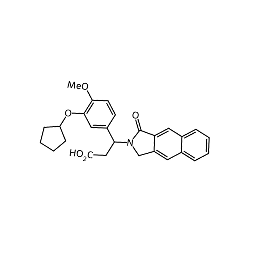 COc1ccc(C(CC(=O)O)N2Cc3cc4ccccc4cc3C2=O)cc1OC1CCCC1